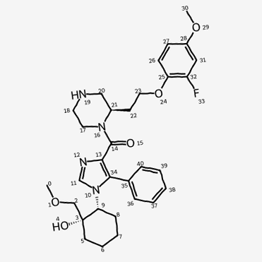 COC[C@]1(O)CCCC[C@H]1n1cnc(C(=O)N2CCNC[C@H]2CCOc2ccc(OC)cc2F)c1-c1ccccc1